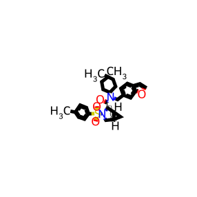 Cc1ccc(S(=O)(=O)N2C[C@@H]3C[C@@H]3[C@H]2C(=O)N(Cc2ccc3ccoc3c2)C2CCC(C)(C)CC2)cc1